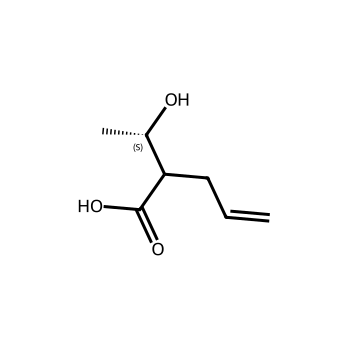 C=CCC(C(=O)O)[C@H](C)O